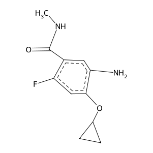 CNC(=O)c1cc(N)c(OC2CC2)cc1F